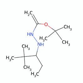 C=C(NNC(CC)C(C)(C)C)OC(C)(C)C